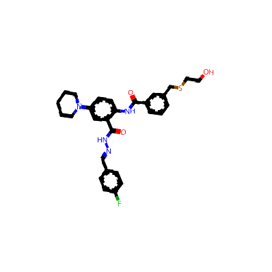 O=C(Nc1ccc(N2CCCCC2)cc1C(=O)NN=Cc1ccc(F)cc1)c1cccc(CSCCO)c1